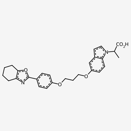 CC(C(=O)O)n1ccc2cc(OCCCOc3ccc(-c4nc5c(o4)CCCC5)cc3)ccc21